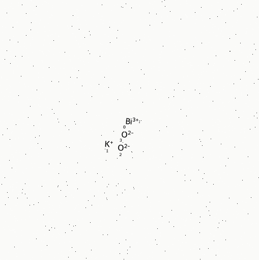 [Bi+3].[K+].[O-2].[O-2]